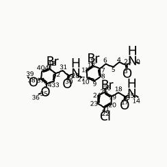 CNC(=O)CCCc1ccccc1Br.CNC(=O)Cc1cc(Cl)ccc1Br.CNC(=O)Cc1cc(OC)c(OC)cc1Br